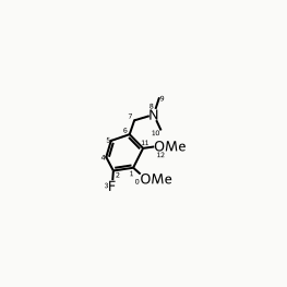 COc1c(F)ccc(CN(C)C)c1OC